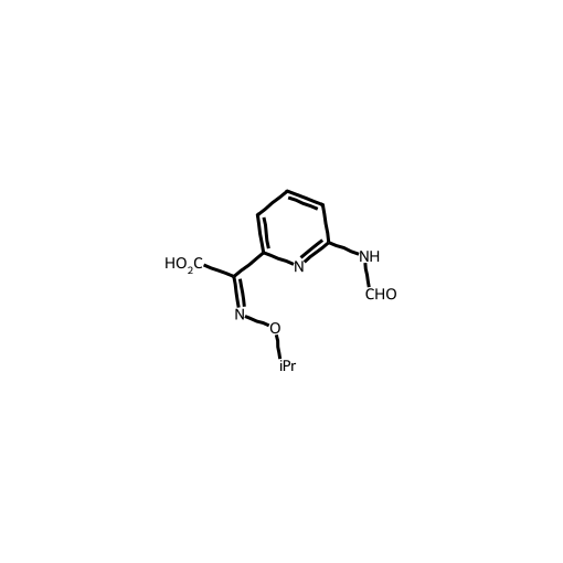 CC(C)O/N=C(/C(=O)O)c1cccc(NC=O)n1